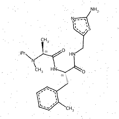 Cc1ccccc1C[C@H](NC(=O)[C@H](C)N(C)C(C)C)C(=O)NCc1cnc(N)s1